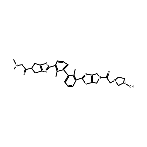 Cc1c(-c2nc3c(s2)CC(C(=O)CN(C)C)C3)cccc1-c1cccc(-c2nc3c(s2)CN(C(=O)CN2CC[C@@H](O)C2)C3)c1C